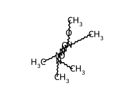 CCCCCCCCCCCCCCN(CCCCCCOCCCCCCC)CC(=O)N1CCN(C(=O)CN(CCCCCCCCC)CCN(CCCCCCCCC)CCCCCCCCC)CC1